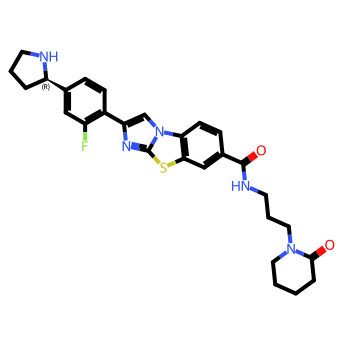 O=C(NCCCN1CCCCC1=O)c1ccc2c(c1)sc1nc(-c3ccc([C@H]4CCCN4)cc3F)cn12